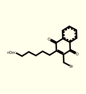 CCCCCCCCCCCCCCCC1=C(CBr)C(=O)c2ccccc2C1=O